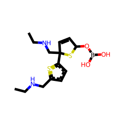 CCNCc1ccc(C2(CNCC)C=CC(OB(O)O)S2)s1